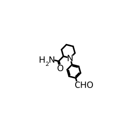 NC(=O)C1CCCCN1c1ccc(C=O)cc1